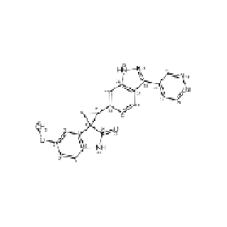 COc1ccc2c(c1)C1(CC1c1ccc3c(-c4cccnc4)n[nH]c3c1)C(=O)N2